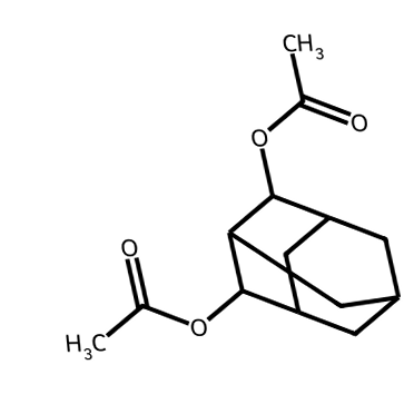 CC(=O)OC1C2CC3CC(C2)C(OC(C)=O)C1C3